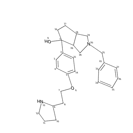 OC1(c2ccc(OCCC3CCCN3)cc2)CCC2CN(Cc3ccccc3)CC21